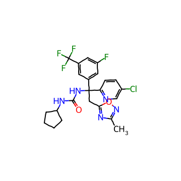 Cc1noc(CC(NC(=O)NC2CCCC2)(c2cc(F)cc(C(F)(F)F)c2)c2ccc(Cl)cn2)n1